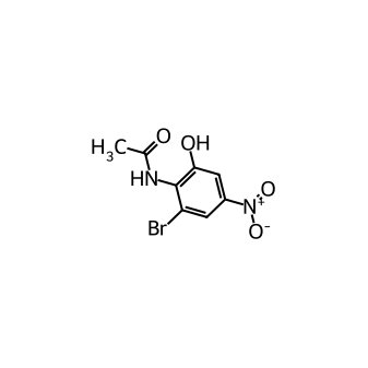 CC(=O)Nc1c(O)cc([N+](=O)[O-])cc1Br